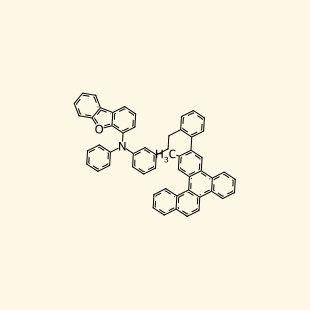 Cc1cc2c(cc1-c1ccccc1CCc1cccc(N(c3ccccc3)c3cccc4c3oc3ccccc34)c1)c1ccccc1c1ccc3ccccc3c12